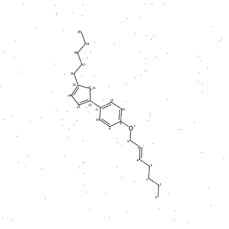 CCCC/C=C/COc1ccc(-c2ccc(CCCCC)s2)cc1